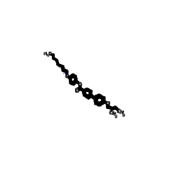 CCCCCC/C=C/Oc1ccc(OC(=O)c2ccc(-c3ccc(OC[C@@H](C)CC)cc3)cc2)cc1